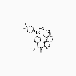 CC(Nc1ncc2ccc(=O)n(CC(C)(C)O)c2n1)c1ccc(CN2CCC(F)(F)CC2)cc1